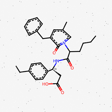 CCCCC(C(=O)N[C@@H](CC(=O)O)c1ccc(CC)cc1)n1cc(C)cc(Cc2ccccc2)c1=O